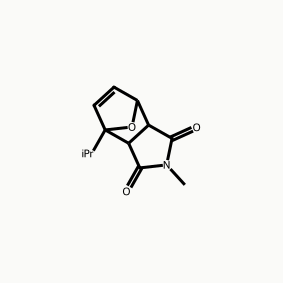 CC(C)C12C=CC(O1)C1C(=O)N(C)C(=O)C12